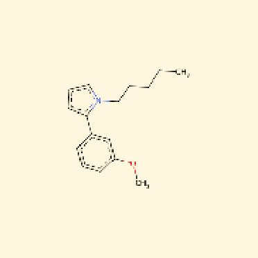 CCCCCn1cccc1-c1cccc(OC)c1